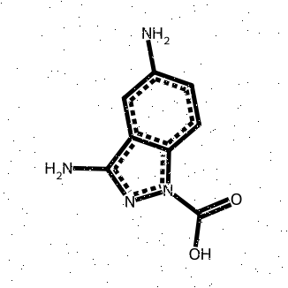 Nc1ccc2c(c1)c(N)nn2C(=O)O